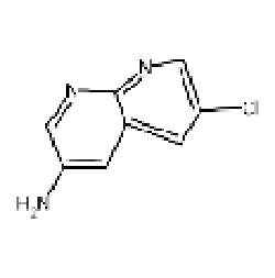 Nc1cnc2ncc(Cl)cc2c1